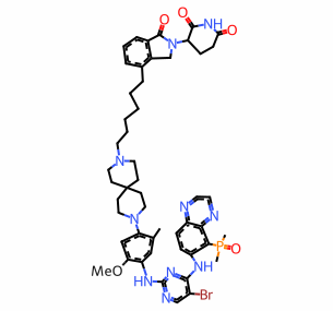 COc1cc(N2CCC3(CCN(CCCCCCc4cccc5c4CN(C4CCC(=O)NC4=O)C5=O)CC3)CC2)c(C)cc1Nc1ncc(Br)c(Nc2ccc3nccnc3c2P(C)(C)=O)n1